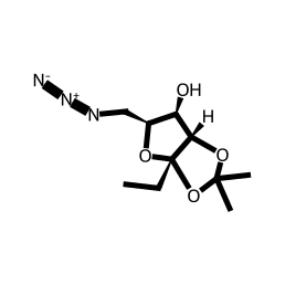 CC[C@@]12O[C@@H](CN=[N+]=[N-])[C@@H](O)[C@@H]1OC(C)(C)O2